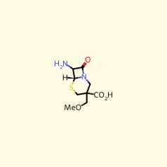 COCC1(C(=O)O)CS[C@@H]2C(N)C(=O)N2C1